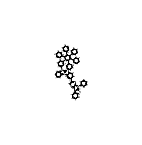 c1ccc(-c2c(-c3ccccc3)c(-c3ccccc3)c(-c3cccc(-n4c5ccccc5n5c6cc(-c7cnc8c(n7)n(-c7ccccc7)c7nc9ccccc9n87)ccc6nc45)c3)c(-c3ccccc3)c2-c2ccccc2)cc1